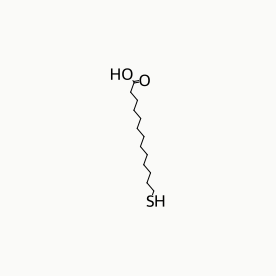 O=C(O)CCCCCCCCCCCCS